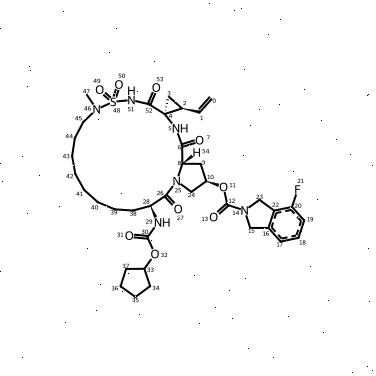 C=C[C@@H]1C[C@@]12NC(=O)[C@@H]1C[C@@H](OC(=O)N3Cc4cccc(F)c4C3)CN1C(=O)[C@@H](NC(=O)OC1CCCC1)CCCCCCCCN(C)S(=O)(=O)NC2=O